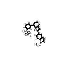 Cn1cnc2cc(-c3cc4nccc(-c5cccc(S(C)(=O)=O)c5)c4o3)ccc21